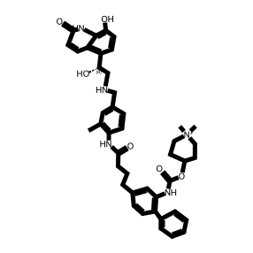 Cc1cc(CNC[C@H](O)c2ccc(O)c3[nH]c(=O)ccc23)ccc1NC(=O)CCCc1ccc(-c2ccccc2)c(NC(=O)OC2CC[N+](C)(C)CC2)c1